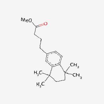 COC(=O)CCCc1ccc2c(c1)C(C)(C)CCC2(C)C